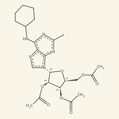 CC(=O)OC[C@@H]1O[C@@H](n2cnc3c(NC4CCCCC4)nc(I)nc32)[C@H](OC(C)=O)[C@@H]1OC(C)=O